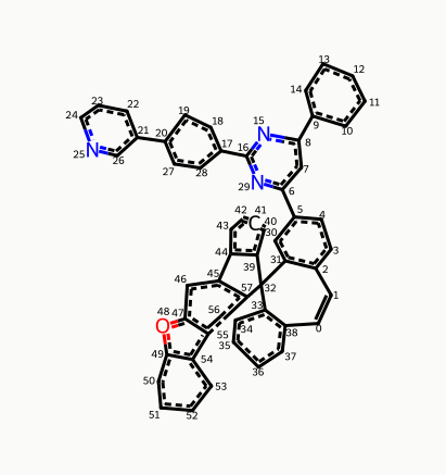 C1=Cc2ccc(-c3cc(-c4ccccc4)nc(-c4ccc(-c5cccnc5)cc4)n3)cc2C2(c3ccccc31)c1ccccc1-c1cc3oc4ccccc4c3cc12